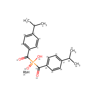 CC(C)c1ccc(C(=O)P(=O)(O)C(=O)c2ccc(C(C)C)cc2)cc1.[RbH]